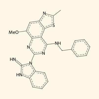 COc1cc2nc(C)sc2c2c(NCc3ccccc3)nc(-n3c(=N)[nH]c4ccccc43)nc12